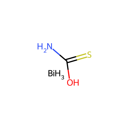 NC(O)=S.[BiH3]